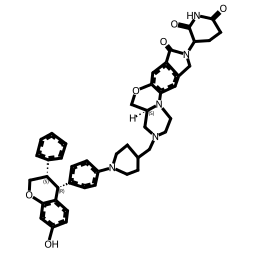 O=C1CCC(N2Cc3cc4c(cc3C2=O)OC[C@@H]2CN(CC3CCN(c5ccc([C@@H]6c7ccc(O)cc7OC[C@@H]6c6ccccc6)cc5)CC3)CCN42)C(=O)N1